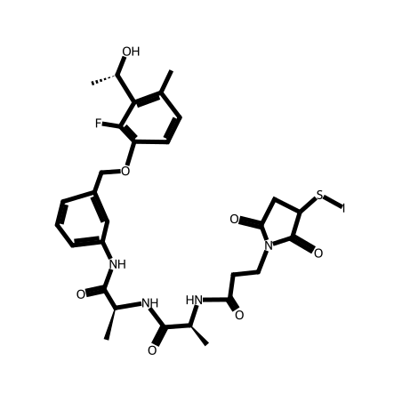 Cc1ccc(OCc2cccc(NC(=O)[C@H](C)NC(=O)[C@H](C)NC(=O)CCN3C(=O)CC(SI)C3=O)c2)c(F)c1[C@H](C)O